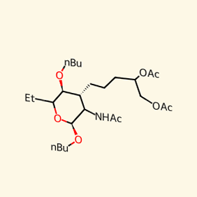 CCCCO[C@H]1OC(CC)[C@@H](OCCCC)[C@H](CCCC(COC(C)=O)OC(C)=O)C1NC(C)=O